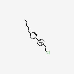 CCCCCc1ccc(C23CCC(CCCl)(CC2)CC3)cc1